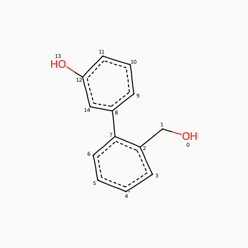 OCc1c[c]ccc1-c1cccc(O)c1